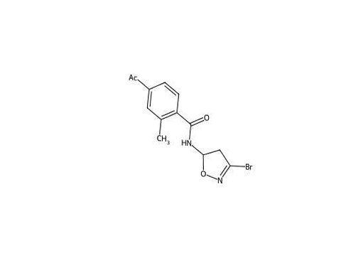 CC(=O)c1ccc(C(=O)NC2CC(Br)=NO2)c(C)c1